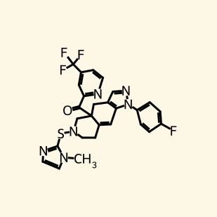 Cn1ccnc1SN1CCC2=Cc3c(cnn3-c3ccc(F)cc3)CC2(C(=O)c2cc(C(F)(F)F)ccn2)C1